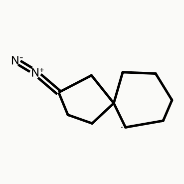 [N-]=[N+]=C1CCC2([CH]CCCC2)C1